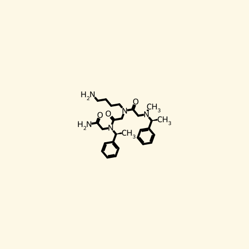 C[C@@H](c1ccccc1)N(C)CC(=O)N(CCCCN)CC(=O)N(CC(N)=O)[C@@H](C)c1ccccc1